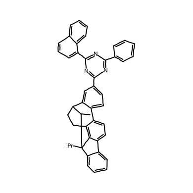 CC(C)C12c3ccccc3-c3ccc4c(c31)CCC(c1cc(-c3nc(-c5ccccc5)nc(-c5cccc6ccccc56)n3)ccc1-4)C2C